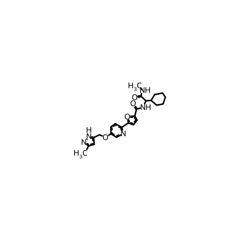 CNC(=O)C(NC(=O)c1ccc(-c2ccc(OCc3cc(C)n[nH]3)cn2)o1)C1CCCCC1